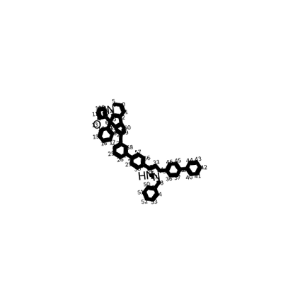 C1=CC2=C(NC1)C1(c3ccccc3Oc3ccccc31)c1cc(-c3cccc(-c4ccc(C5=CC(c6ccc(-c7ccccc7)cc6)N(Cc6ccccc6)N5)cc4)c3)ccc12